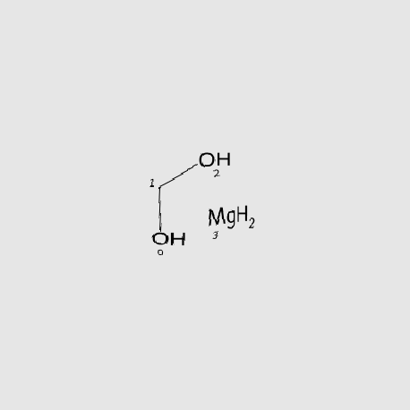 OCO.[MgH2]